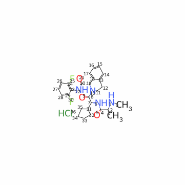 CN[C@@H](C)C(=O)N[C@H](C(=O)N1CCc2ccccc2[C@H]1C(=O)Nc1c(F)cccc1F)C1CCCC1.Cl